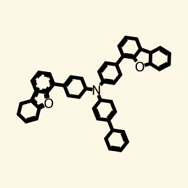 C1=CCC(C2=CCC(N(C3=CCC(C4=C5OC6C=CC=CC6C5CC=C4)C=C3)C3CC=C(c4cccc5c6c(oc45)C=CCC6)CC3)C=C2)C=C1